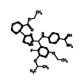 CCOC(=O)c1ccccc1-c1c[nH]c(C(Nc2ccc(C(=N)N)cc2)c2cc(OCC)cc(OC(C)C)c2F)n1